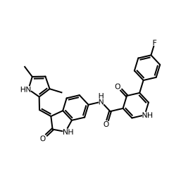 Cc1cc(C)c(C=C2C(=O)Nc3cc(NC(=O)c4c[nH]cc(-c5ccc(F)cc5)c4=O)ccc32)[nH]1